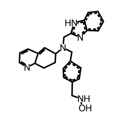 ONCc1ccc(CN(Cc2nc3ccccc3[nH]2)C2C=C3C=CC=NC3CC2)cc1